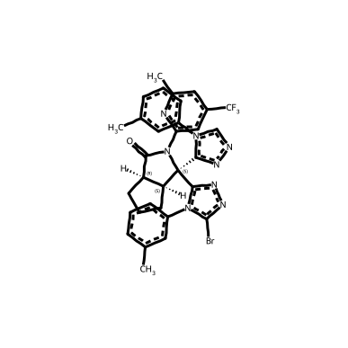 Cc1cccc(-n2cnnc2[C@]2(c3nnc(Br)n3-c3cccc(C)c3)[C@H]3CCC[C@H]3C(=O)N2c2cc(C(F)(F)F)cc(C)n2)c1